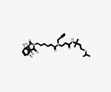 C#CCN(CCC(=O)NC(C)(C)CCOC(C)C)C(=O)CCCCCN1C(=O)[C@@H]2[C@H](C1=O)[C@H]1C=C[C@@H]2C1